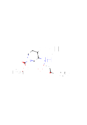 COC(=O)CC(=O)NC1CN(C(=O)OC(C)(C)C)CCC1C(=O)O